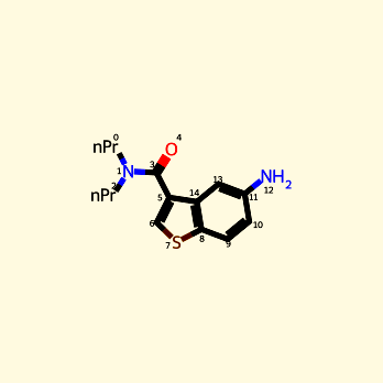 CCCN(CCC)C(=O)c1csc2ccc(N)cc12